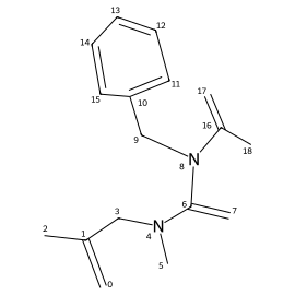 C=C(C)CN(C)C(=C)N(Cc1ccccc1)C(=C)C